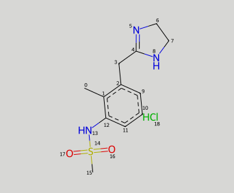 Cc1c(CC2=NCCN2)cccc1NS(C)(=O)=O.Cl